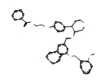 COc1ccccc1COc1cc(COC2CNCCC2c2ccc(OCCOC(=O)c3ccccc3)cc2)cc2ccccc12.Cl